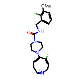 COc1cccc(CNC(=O)N2CCN(/C3=C/C/C=N\CC=C3F)CC2)c1F